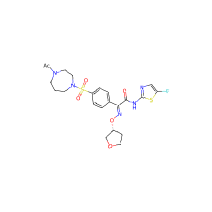 CC(=O)N1CCCN(S(=O)(=O)c2ccc(/C(=N\O[C@@H]3CCOC3)C(=O)Nc3ncc(F)s3)cc2)CC1